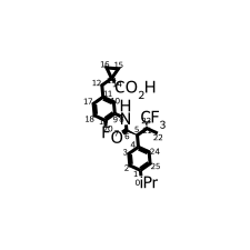 CC(C)c1ccc([C@@H](C(=O)Nc2cc(CC3(C(=O)O)CC3)ccc2F)[C@@H](C)C(F)(F)F)cc1